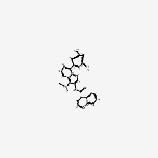 CN(C)c1c(NC(=O)[C@H]2CCOc3ccccc32)cnc2c(-c3cc(Cl)cc(Cl)c3)nccc12